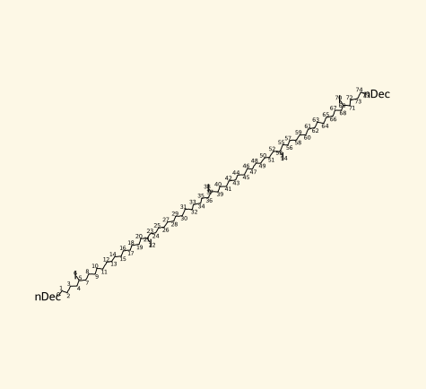 CCCCCCCCCCCCCCC(I)CCCCCCCCCCCCCCC(I)CCCCCCCCCCCCCCC(I)CCCCCCCCCCCCCCC(I)CCCCCCCCCCCCCCC(I)CCCCCCCCCCCCCC